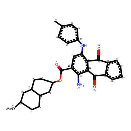 COC1CCC2CC(OC(=O)c3cc(Nc4ccc(C)cc4)c4c(c3N)C(=O)c3ccccc3C4=O)CCC2C1